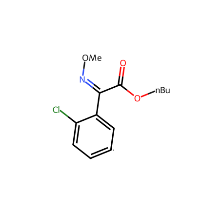 CCCCOC(=O)C(=NOC)c1c[c]ccc1Cl